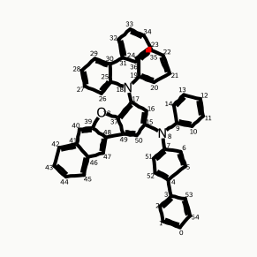 c1ccc(-c2ccc(N(c3ccccc3)c3cc(N(c4ccccc4)c4ccccc4-c4ccccc4)c4oc5cc6ccccc6cc5c4c3)cc2)cc1